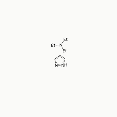 CCN(CC)CC.c1cn[nH]c1